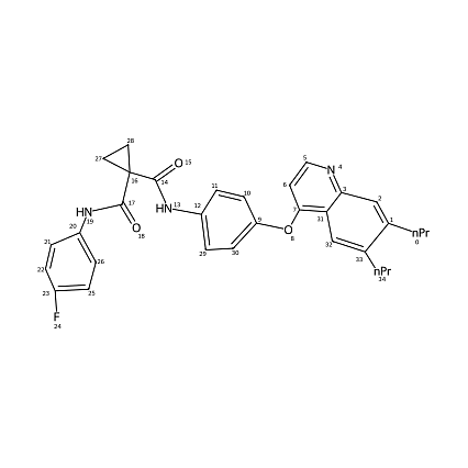 CCCc1cc2nccc(Oc3ccc(NC(=O)C4(C(=O)Nc5ccc(F)cc5)CC4)cc3)c2cc1CCC